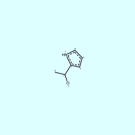 CC(Cl)c1ccc[nH]1